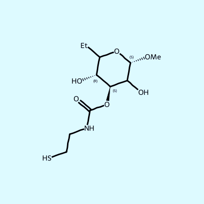 CCC1O[C@H](OC)C(O)[C@@H](OC(=O)NCCS)[C@@H]1O